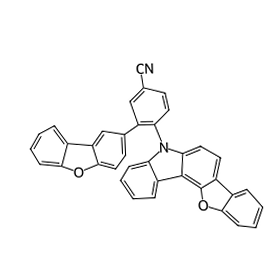 N#Cc1ccc(-n2c3ccccc3c3c4oc5ccccc5c4ccc32)c(-c2ccc3oc4ccccc4c3c2)c1